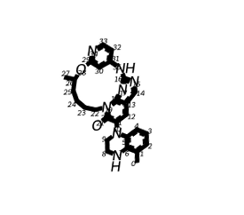 Cc1cccc2c1NCCN2c1cc2cnc3nc2n(c1=O)CCCCC(C)Oc1cc(ccn1)N3